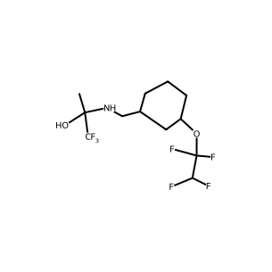 CC(O)(NCC1CCCC(OC(F)(F)C(F)F)C1)C(F)(F)F